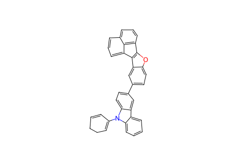 C1=CC(n2c3ccccc3c3cc(-c4ccc5oc6c(c5c4)-c4cccc5cccc-6c45)ccc32)=CCC1